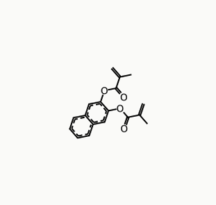 C=C(C)C(=O)Oc1cc2ccccc2cc1OC(=O)C(=C)C